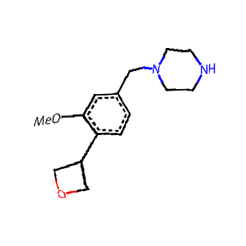 COc1cc(CN2CCNCC2)ccc1C1COC1